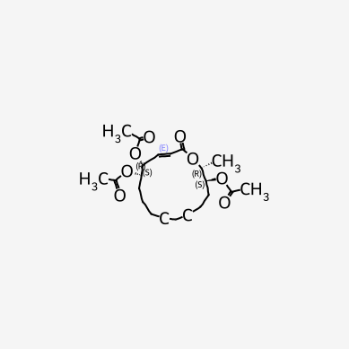 CC(=O)O[C@H]1CCCCCCCC[C@H](OC(C)=O)[C@H](OC(C)=O)/C=C/C(=O)O[C@@H]1C